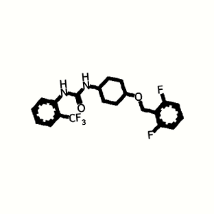 O=C(Nc1ccccc1C(F)(F)F)NC1CCC(OCc2c(F)cccc2F)CC1